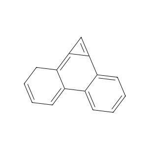 C1=CCc2c3c(c4ccccc4c2=C1)=C3